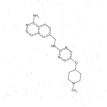 CN1CCC(Oc2cnc(NCc3ccc4c(N)nccc4c3)nc2)CC1